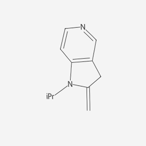 C=C1Cc2cnccc2N1C(C)C